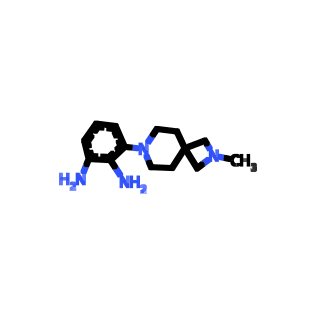 CN1CC2(CCN(c3cccc(N)c3N)CC2)C1